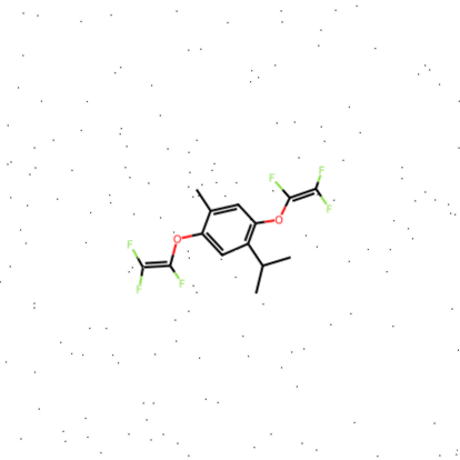 Cc1cc(OC(F)=C(F)F)c(C(C)C)cc1OC(F)=C(F)F